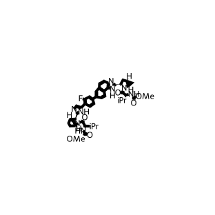 COC(=O)NC(C(=O)N1[C@@H]2CC[C@@H](C2)[C@H]1c1ncc(-c2ccc(-c3ccc4c(ccc5nc([C@@H]6C[C@H]7C[C@H]7N6C(=O)[C@@H](NC(=O)OC)C(C)C)[nH]c54)c3)cc2F)[nH]1)C(C)C